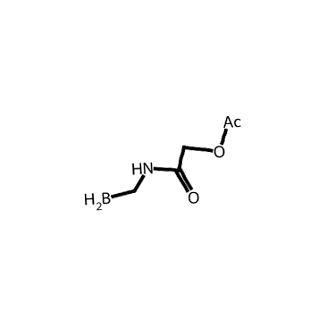 BCNC(=O)COC(C)=O